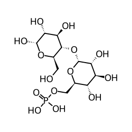 O=P(O)(O)OC[C@H]1O[C@H](O[C@H]2[C@H](O)[C@@H](O)[C@@H](O)O[C@@H]2CO)[C@H](O)[C@@H](O)[C@@H]1O